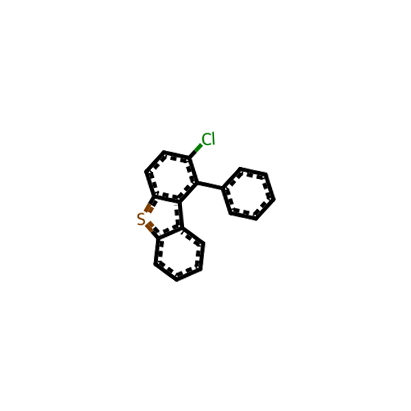 Clc1ccc2sc3ccccc3c2c1-c1ccccc1